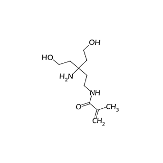 C=C(C)C(=O)NCCC(N)(CCO)CCO